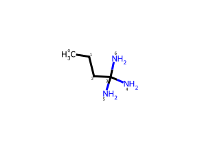 CCCC(N)(N)N